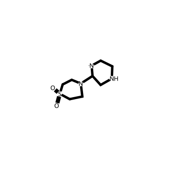 O=S1(=O)CCN(C2CNCC[N]2)CC1